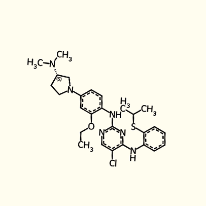 CCOc1cc(N2CC[C@H](N(C)C)C2)ccc1Nc1ncc(Cl)c(Nc2ccccc2SC(C)C)n1